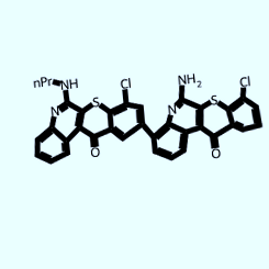 CCCNc1nc2ccccc2c2c(=O)c3cc(-c4cccc5c4nc(N)c4sc6c(Cl)cccc6c(=O)c45)cc(Cl)c3sc12